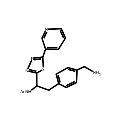 CC(=O)NC(Cc1ccc(CN)cc1)c1nnc(-c2cccnc2)s1